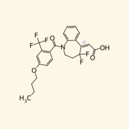 CCCCOc1ccc(C(=O)N2CCC(F)(F)/C(=C\C(=O)O)c3ccccc32)c(C(F)(F)F)c1